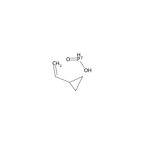 C=CC1CC1.O=[PH2]O